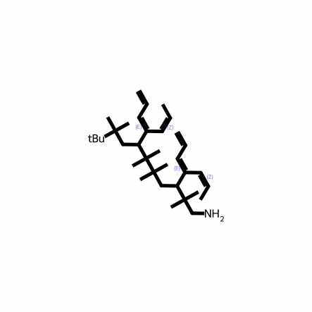 C=C/C=C(\C=C/C)C(CC(C)(C)C(C)(C)C(CC(C)(C)C(C)(C)C)C(/C=C\C)=C/C=C)C(C)(C)CN